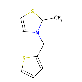 FC(F)(F)C1SC=[C]N1Cc1cccs1